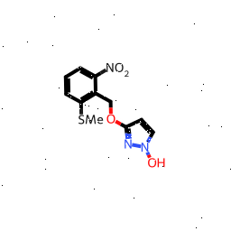 CSc1cccc([N+](=O)[O-])c1COc1ccn(O)n1